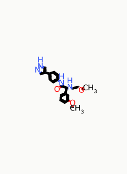 COCCN[C@H](C(=O)Nc1ccc(-c2cn[nH]c2)cc1)c1cccc(OC)c1